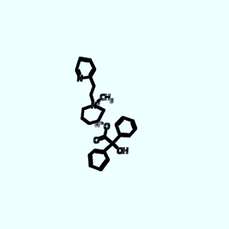 C[N+]1(CCc2ccccn2)CCC[C@@H](OC(=O)C(O)(c2ccccc2)c2ccccc2)C1